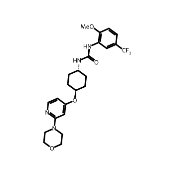 COc1ccc(C(F)(F)F)cc1NC(=O)N[C@H]1CC[C@H](Oc2ccnc(N3CCOCC3)c2)CC1